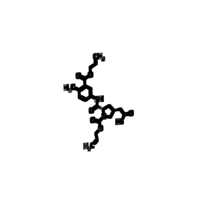 C=CCOC(=O)c1cc(NC(=O)[C@@H]2C[C@@H](CC(=O)S)CN2C(=O)OCC=C)ccc1C